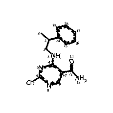 CC(CNc1nc(Cl)ncc1C(N)=O)c1ccccc1